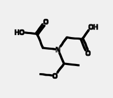 COC(C)N(CC(=O)O)CC(=O)O